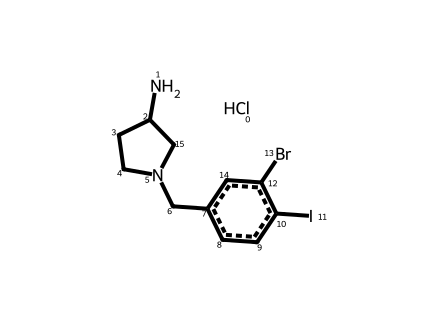 Cl.NC1CCN(Cc2ccc(I)c(Br)c2)C1